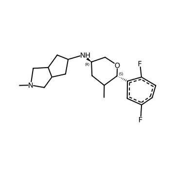 CC1C[C@@H](NC2CC3CN(C)CC3C2)CO[C@@H]1c1cc(F)ccc1F